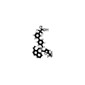 CCc1ccc2ccccc2c1CN(Cc1ccc(-c2cccc(C(C)(C)C(=O)O)c2)cc1)Cc1ccc(C(F)(F)F)o1